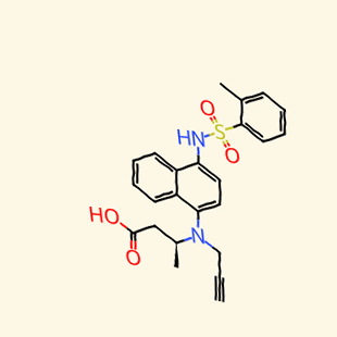 C#CCN(c1ccc(NS(=O)(=O)c2ccccc2C)c2ccccc12)[C@@H](C)CC(=O)O